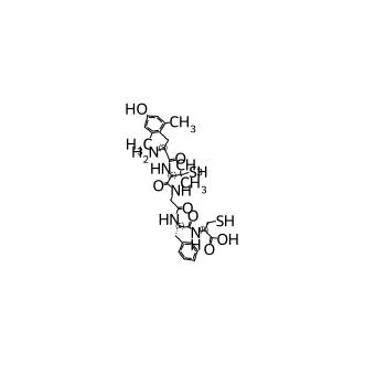 Cc1cc(O)cc(C)c1C[C@H](N)C(=O)N[C@@H](C(=O)NCC(=O)N[C@@H](Cc1ccccc1)C(=O)N[C@@H](CS)C(=O)O)C(C)(C)S